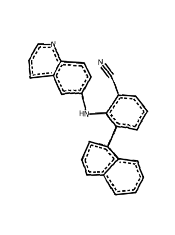 N#Cc1cccc(-c2cccc3ccccc23)c1Nc1ccc2ncccc2c1